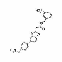 NCc1ccc(-c2ccc3nc(CC(=O)NCc4cccc(C(=O)O)c4)sc3c2)cc1